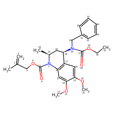 C=C(C)COC(=O)N1c2cc(OC)c(OC)cc2[C@H](N(Cc2ccccc2)C(=O)OCC)C[C@@H]1C